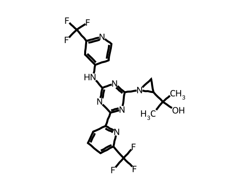 CC(C)(O)C1CN1c1nc(Nc2ccnc(C(F)(F)F)c2)nc(-c2cccc(C(F)(F)F)n2)n1